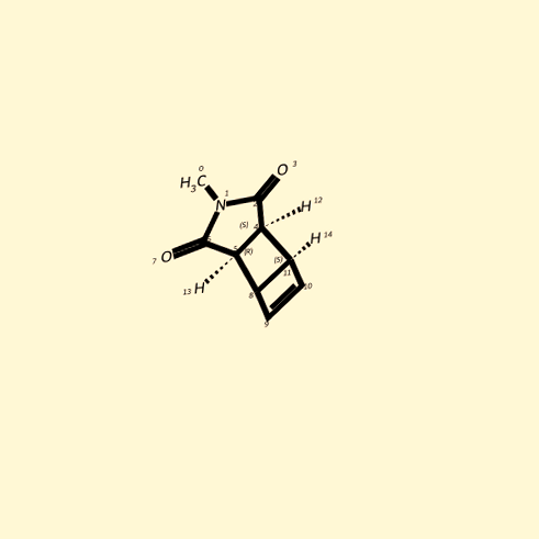 CN1C(=O)[C@@H]2[C@H](C1=O)C1C=C[C@@H]12